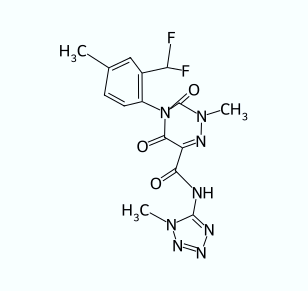 Cc1ccc(-n2c(=O)c(C(=O)Nc3nnnn3C)nn(C)c2=O)c(C(F)F)c1